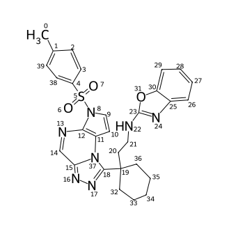 Cc1ccc(S(=O)(=O)n2ccc3c2ncc2nnc(C4(CCNc5nc6ccccc6o5)CCCCC4)n23)cc1